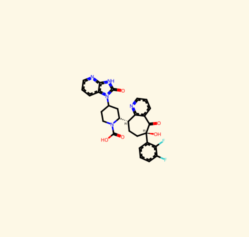 O=C(O)N1CCC(n2c(=O)[nH]c3ncccc32)CC1[C@H]1CC[C@@](O)(c2cccc(F)c2F)C(=O)c2cccnc21